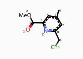 COC(=O)c1cc(C)cc(CCl)n1